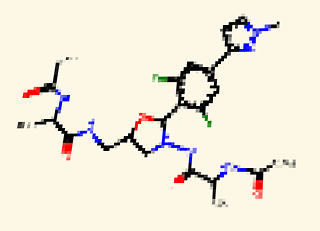 COC(=O)NC(C(=O)NCC1CN(NC(=O)C(NC(=O)OC)C(C)(C)C)C(c2c(F)cc(-c3ccn(C)n3)cc2F)O1)C(C)(C)C